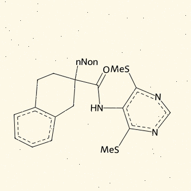 CCCCCCCCCC1(C(=O)Nc2c(SC)ncnc2SC)CCc2ccccc2C1